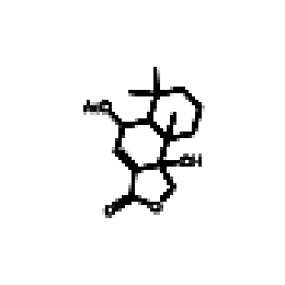 CC(=O)OC1C=C2C(=O)OCC2(O)C2(C)CCCC(C)(C)C12